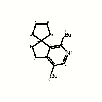 CC(C)(C)c1cnc(C(C)(C)C)c2c1CCC21CCCC1